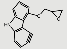 c1ccc2[nH]c3cccc(OCC4CO4)c3c2c#1